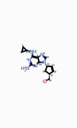 Nc1nc(NC2CC2)c2ncn([C@H]3C=C[C@@H](C[O])C3)c2n1